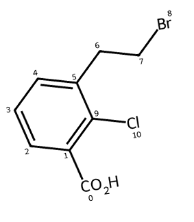 O=C(O)c1cccc(CCBr)c1Cl